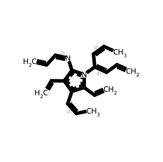 C=C/C=N\c1c(C=C)c(/C=C\C)c(C=C)n1C(/C=C\C)=C/C=C